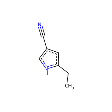 CCc1cc(C#N)c[nH]1